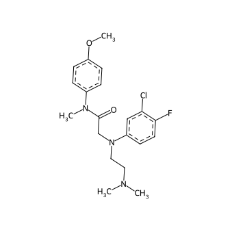 COc1ccc(N(C)C(=O)CN(CCN(C)C)c2ccc(F)c(Cl)c2)cc1